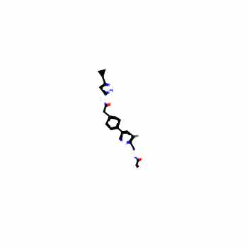 C=CC(=O)NCc1ncc(-c2ccc(CC(=O)Nc3cc(C4CC4)[nH]n3)cc2)cc1F